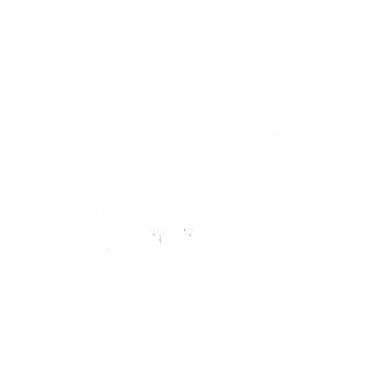 COc1ccccc1C#Cc1ccc(S(=O)(=O)c2ccccc2)nn1